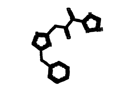 O=C(Cc1nc(Cc2ccccc2)cs1)C(=O)c1nc[nH]n1